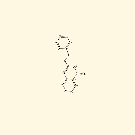 O=c1oc(SCc2ccccc2)nc2ccccc12